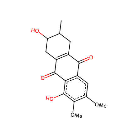 COc1cc2c(c(O)c1OC)C(=O)C1=C(CC(C)C(O)C1)C2=O